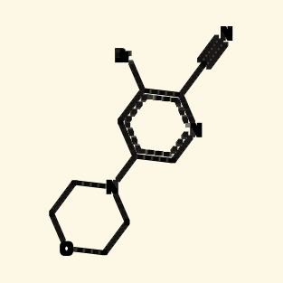 N#Cc1ncc(N2CCOCC2)cc1Br